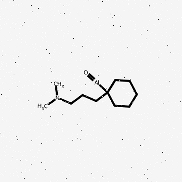 CN(C)CCC[C]1([Al]=[O])CCCCC1